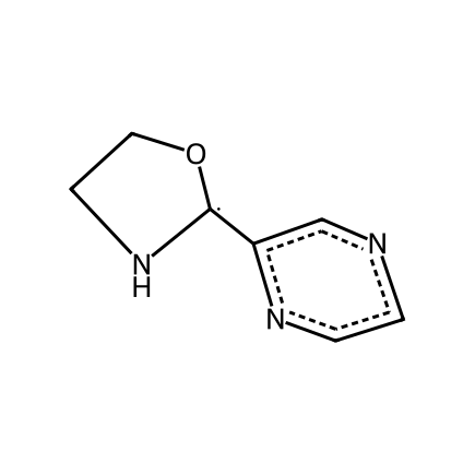 c1cnc([C]2NCCO2)cn1